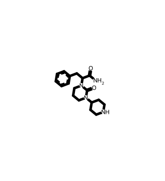 NC(=O)C(Cc1ccccc1)N1CCCN(C2CCNCC2)C1=O